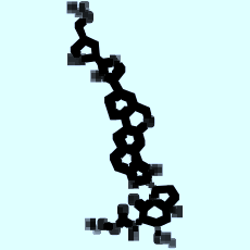 COC[C@@H]1CN[C@H](c2ncc(-c3ccc4c(c3)COc3cc5c(ccc6nc([C@@H]7CC[C@@H]8C[C@H](C)[C@H](NC(=O)OC)C(=O)N87)[nH]c65)cc3-4)[nH]2)C1